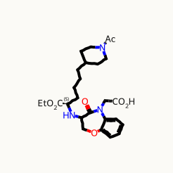 CCOC(=O)[C@H](CCCCC1CCN(C(C)=O)CC1)NC1COc2ccccc2N(CC(=O)O)C1=O